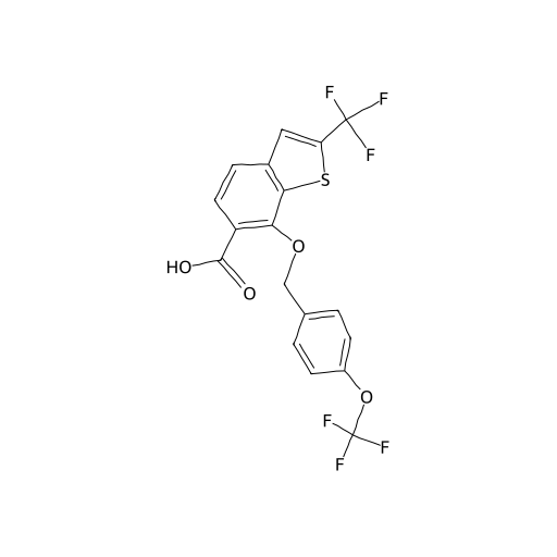 O=C(O)c1ccc2cc(C(F)(F)F)sc2c1OCc1ccc(OC(F)(F)F)cc1